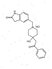 Cl.O=C1Cc2cc(CN3CCC(O)(CC(=O)c4ccccc4)CC3)ccc2N1